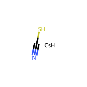 N#CS.[CsH]